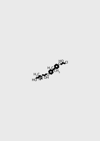 Cc1c(CO)nnn1C[C@@H](O)COc1ccc(C(C)(C)c2ccc(OC[C@@H](O)CCl)cc2)cc1